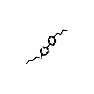 CCCCOc1cnc(-c2ccc(CCCC)cc2)nc1